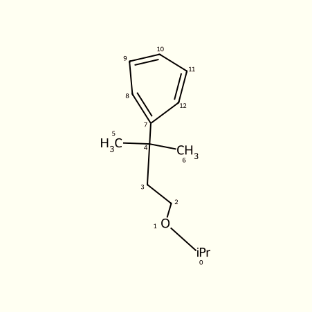 CC(C)OCCC(C)(C)c1ccccc1